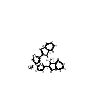 C1=C(c2ccco2)[CH]([Ti+2][CH]2C(c3ccco3)=Cc3ccccc32)c2ccccc21.[Cl-].[Cl-]